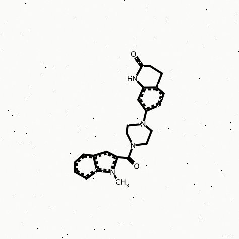 Cn1c(C(=O)N2CCN(c3ccc4c(c3)NC(=O)CC4)CC2)cc2ccccc21